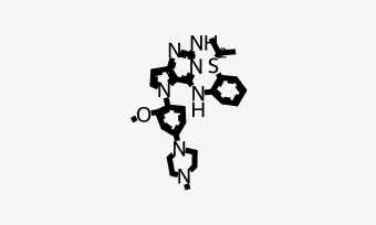 COc1cc(N2CCN(C)CC2)ccc1-n1ccc2nc(N)nc(Nc3ccccc3SC(C)C)c21